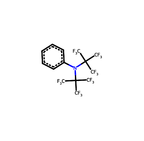 FC(F)(F)C(N(c1ccccc1)C(C(F)(F)F)(C(F)(F)F)C(F)(F)F)(C(F)(F)F)C(F)(F)F